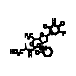 CC(N[P@@](=O)(Oc1ccccc1)OC([C@H]1O[C@@H](n2cc(F)c(=O)[nH]c2=O)C[C@@H]1O)C(F)(F)F)C(=O)O